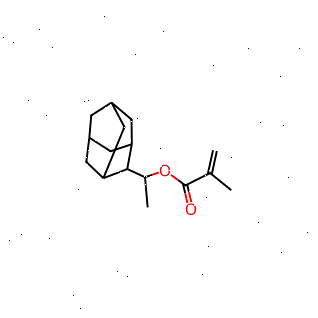 C=C(C)C(=O)OC(C)C1C2CC3CC(C2)CC1C3